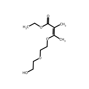 CCOC(=O)C(C)=C(C)OCCOCCO